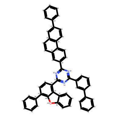 c1ccc(-c2cccc(-c3nc(-c4ccc5c(ccc6cc(-c7ccccc7)ccc65)c4)nc(-c4ccc(-c5ccccc5)c5oc6ccccc6c45)n3)c2)cc1